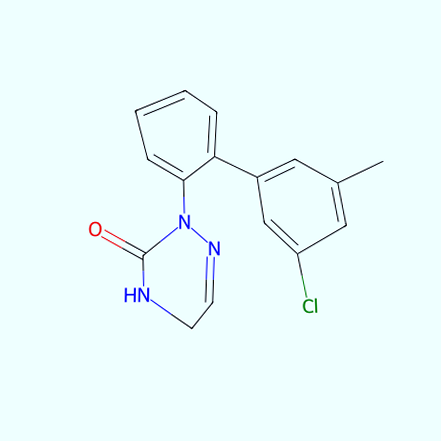 Cc1cc(Cl)cc(-c2ccccc2N2N=CCNC2=O)c1